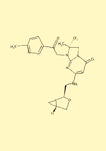 Cc1ccc(C(=O)CN2c3nc(NC[C@H]4OC[C@@H]5CC54)cc(=O)n3C[C@@]2(C)C(F)(F)F)cn1